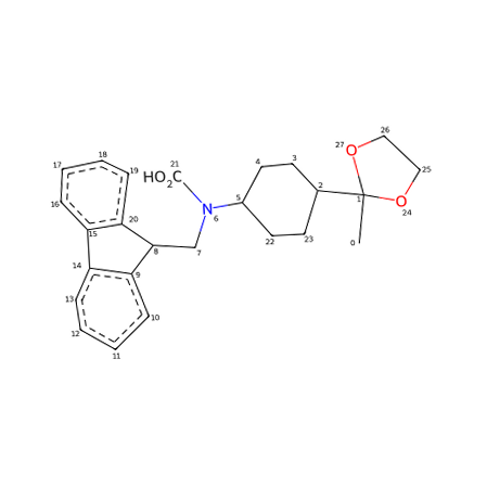 CC1(C2CCC(N(CC3c4ccccc4-c4ccccc43)C(=O)O)CC2)OCCO1